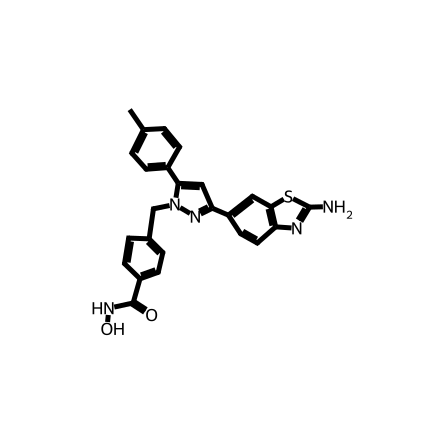 Cc1ccc(-c2cc(-c3ccc4nc(N)sc4c3)nn2Cc2ccc(C(=O)NO)cc2)cc1